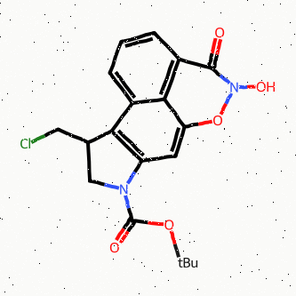 CC(C)(C)OC(=O)N1CC(CCl)c2c1cc1c3c(cccc23)C(=O)N(O)O1